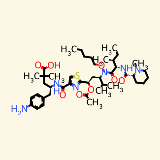 CCCCCON(C(=O)[C@@H](NC(=O)[C@H]1CCCCN1C)[C@@H](C)CC)[C@H](C[C@@H](OC(C)=O)c1nc(C(=O)N[C@@H](Cc2ccc(N)cc2)CC(C)(C)C(=O)O)cs1)C(C)C